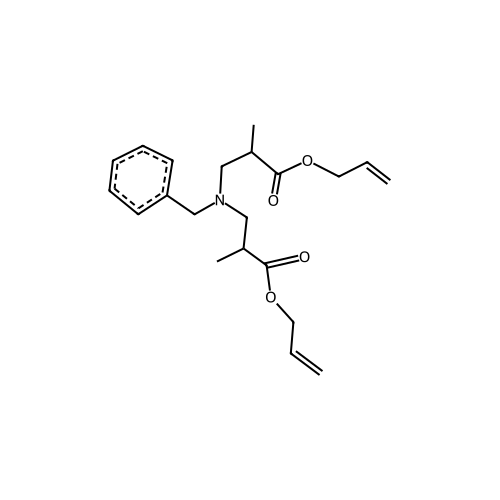 C=CCOC(=O)C(C)CN(Cc1ccccc1)CC(C)C(=O)OCC=C